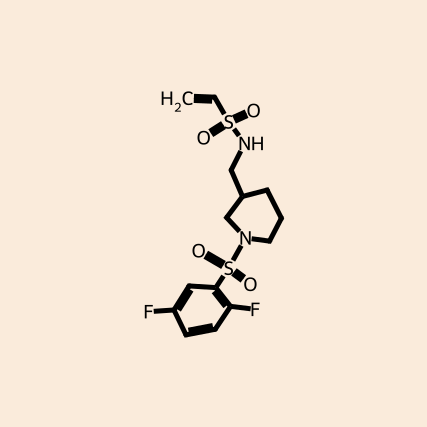 C=CS(=O)(=O)NCC1CCCN(S(=O)(=O)c2cc(F)ccc2F)C1